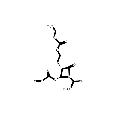 CCSC(=S)S[C@@H]1[C@H](CCOC(=O)OCC(Cl)(Cl)Cl)C(=O)N1C(O)C(=O)O